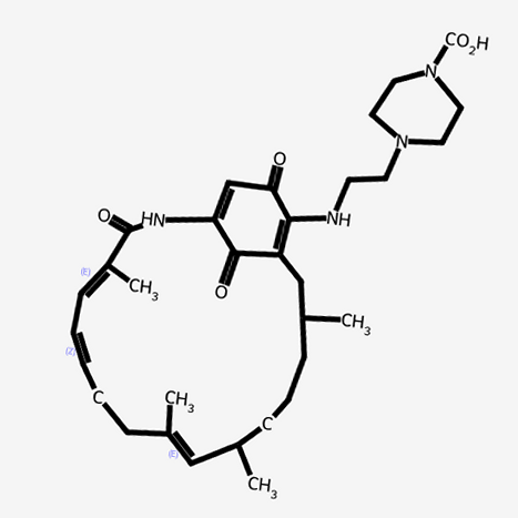 C/C1=C\C(C)CCCC(C)CC2=C(NCCN3CCN(C(=O)O)CC3)C(=O)C=C(NC(=O)/C(C)=C/C=C\CC1)C2=O